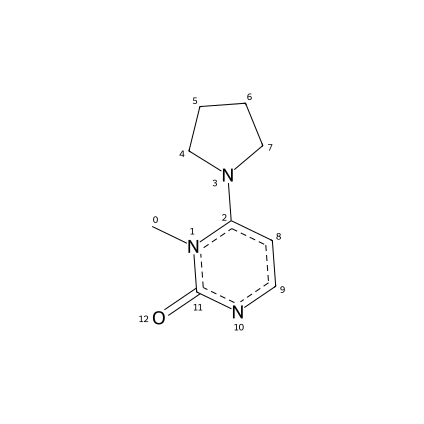 Cn1c(N2CCCC2)ccnc1=O